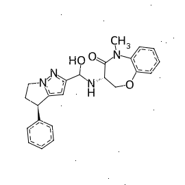 CN1C(=O)[C@@H](NC(O)c2cc3n(n2)CC[C@@H]3c2ccccc2)COc2ccccc21